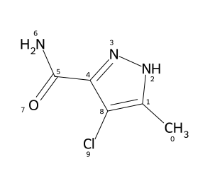 Cc1[nH]nc(C(N)=O)c1Cl